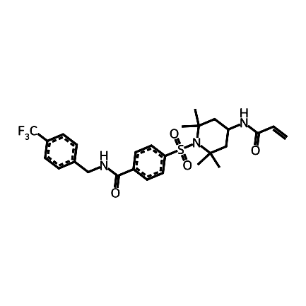 C=CC(=O)NC1CC(C)(C)N(S(=O)(=O)c2ccc(C(=O)NCc3ccc(C(F)(F)F)cc3)cc2)C(C)(C)C1